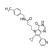 Cc1ccc(CNC(=O)CCCn2c(C3CC3)c(-c3cccnc3)c3nc[nH]c(=O)c32)cc1